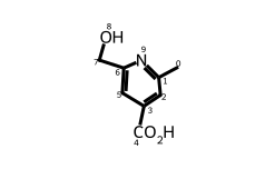 Cc1cc(C(=O)O)cc(CO)n1